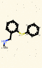 CC(C)(C)NCc1ccccc1Sc1ccccc1